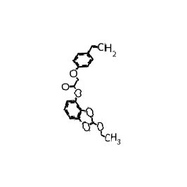 C=Cc1ccc(OCC(=O)Oc2cccc3c2OC(OCC)O3)cc1